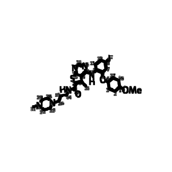 COC1CCC(Oc2cc(F)ccc2Nc2ncnc3sc(C(=O)NCCCN4CCN(C)CC4)c(C)c23)CC1